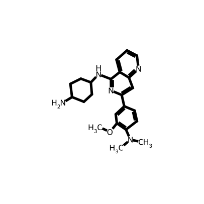 COc1cc(-c2cc3ncccc3c(NC3CCC(N)CC3)n2)ccc1N(C)C